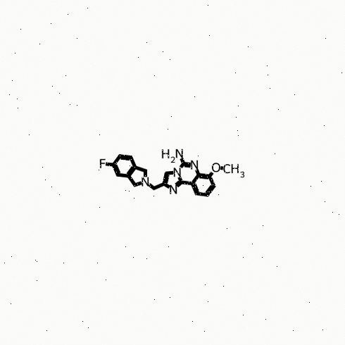 COc1cccc2c1nc(N)n1cc(CN3Cc4ccc(F)cc4C3)nc21